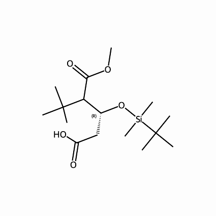 COC(=O)C([C@@H](CC(=O)O)O[Si](C)(C)C(C)(C)C)C(C)(C)C